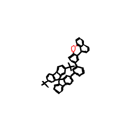 CC(C)(C)c1ccc2c(c1)C1(c3ccccc3-c3ccc(-c4cccc(-c5ccc6c(c5)-c5cccc7cccc(c57)O6)c4)cc31)c1cc(C(C)(C)C)ccc1-2